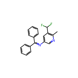 Cc1ncc(N=C(c2ccccc2)c2ccccc2)cc1C(F)F